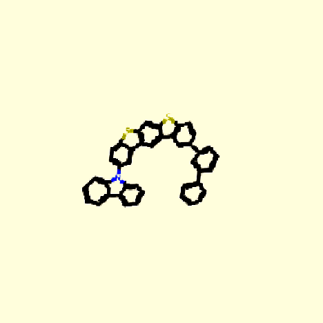 c1ccc(-c2cccc(-c3ccc4sc5cc6sc7ccc(-n8c9ccccc9c9ccccc98)cc7c6cc5c4c3)c2)cc1